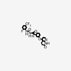 O=C1CCc2c(Oc3ccc4c(c3)[C@H]3C(NC(=O)Nc5cc(C(F)(F)F)ccc5F)=C3O4)ccnc2N1